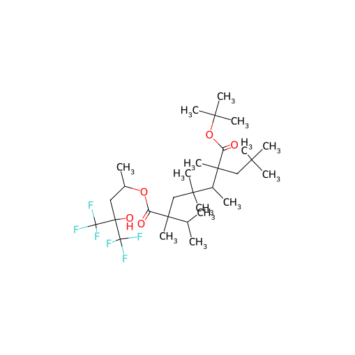 CC(CC(O)(C(F)(F)F)C(F)(F)F)OC(=O)C(C)(CC(C)(C)C(C)C(C)(CC(C)(C)C)C(=O)OC(C)(C)C)C(C)C